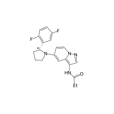 CCC(=O)Nc1cnn2ccc(N3CCC[C@@H]3c3cc(F)ccc3F)cc12